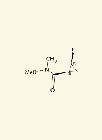 CON(C)C(=O)[C@@H]1C[C@@H]1F